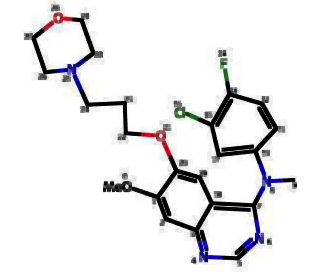 COc1cc2ncnc(N(C)c3ccc(F)c(Cl)c3)c2cc1OCCCN1CCOCC1